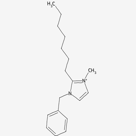 CCCCCCCc1n(Cc2ccccc2)cc[n+]1C